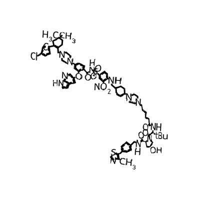 Cc1ncsc1-c1ccc(CNC(=O)[C@@H]2C[C@@H](O)CN2C(=O)[C@@H](NC(=O)CCCCCN2CCN(C3CCC(CNc4ccc(S(=O)(=O)NC(=O)c5ccc(N6CCN(CC7=C(c8ccc(Cl)cc8)CC(C)(C)CC7)CC6)cc5Oc5cnc6[nH]ccc6c5)cc4[N+](=O)[O-])CC3)CC2)C(C)(C)C)cc1